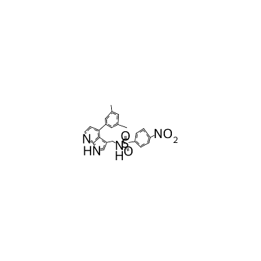 Cc1cc(C)cc(-c2ccnc3[nH]cc(CNS(=O)(=O)c4ccc([N+](=O)[O-])cc4)c23)c1